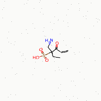 C=CC(=O)C(CC)(CN)S(=O)(=O)O